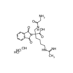 CC(=N)NCCCCC(CNC(=O)CN)(C(=O)O)N1C(=O)c2ccccc2C1=O.Cl.Cl.Cl